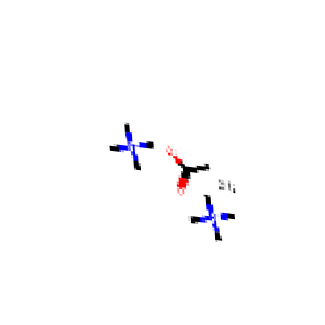 CC(=O)[O-].C[N+](C)(C)C.C[N+](C)(C)C.[BH4-]